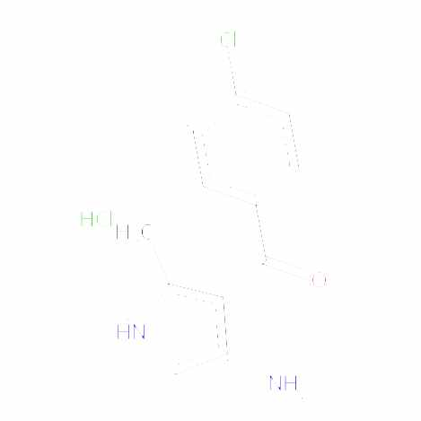 Cc1[nH]cc(N)c1C(=O)c1ccc(Cl)cc1.Cl